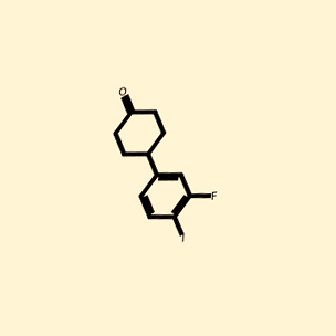 O=C1CCC(c2ccc(I)c(F)c2)CC1